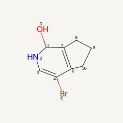 OC1NC=C(Br)C2=C1CCC2